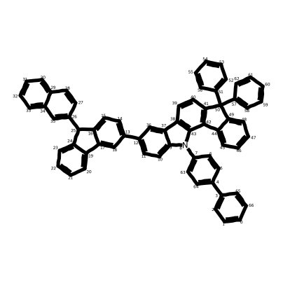 c1ccc(-c2ccc(-n3c4ccc(-c5ccc6c(c5)-c5ccccc5C6c5ccc6ccccc6c5)cc4c4ccc5c(c43)-c3ccccc3C5(c3ccccc3)c3ccccc3)cc2)cc1